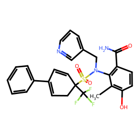 Cc1c(O)ccc(C(N)=O)c1N(Cc1cccnc1)S(=O)(=O)C1(C(F)(F)F)C=CC(c2ccccc2)=CC1